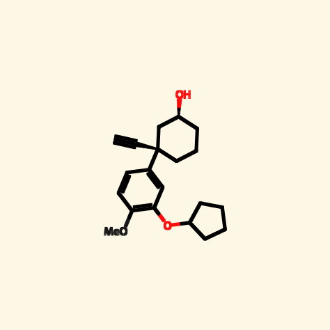 C#C[C@]1(c2ccc(OC)c(OC3CCCC3)c2)CCC[C@H](O)C1